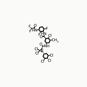 Cc1cc(NC(=O)[C@H]2[C@H](c3cc(Cl)c(Cl)c(Cl)c3)C2(Cl)Cl)cc(C(=O)Nc2c(F)ccc(NC(=O)C(F)F)c2F)c1Cl